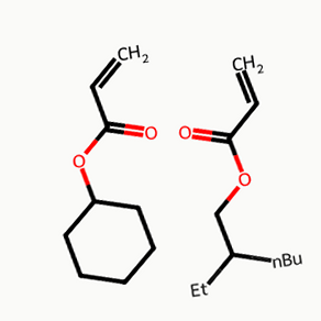 C=CC(=O)OC1CCCCC1.C=CC(=O)OCC(CC)CCCC